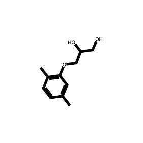 Cc1ccc(C)c(OCC(O)CO)c1